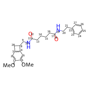 COc1cc2c(cc1OC)C(CNC(=O)CCCCC(=O)NCCc1ccccc1)C2